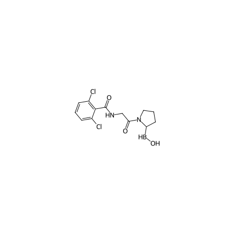 O=C(NCC(=O)N1CCCC1BO)c1c(Cl)cccc1Cl